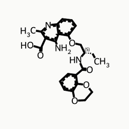 CC[C@@H](COc1cccc2nc(C)c(C(=O)O)c(N)c12)NC(=O)c1cccc2c1OCCO2